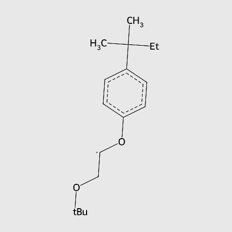 CCC(C)(C)c1ccc(O[CH]COC(C)(C)C)cc1